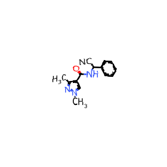 Cc1nn(C)cc1C(=O)NC(C#N)c1ccccc1